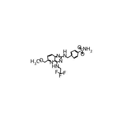 COCc1ccc2nc(NCc3ccc(S(N)(=O)=O)cc3)nc(NCC(F)(F)F)c2n1